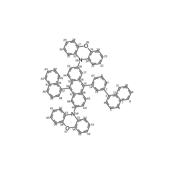 c1cc(-c2cccc3ccccc23)cc(-c2c3cc(N4c5ccccc5Oc5ccccc54)ccc3c(-c3cccc4ccccc34)c3cc(N4c5ccccc5Oc5ccccc54)ccc23)c1